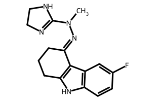 CN(/N=C1\CCCc2[nH]c3ccc(F)cc3c21)C1=NCCN1